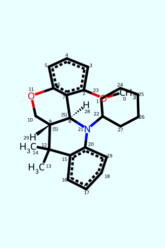 COc1cccc2c1[C@@H]1[C@@H](CO2)C(C)(C)c2ccccc2N1C1CCCCC1